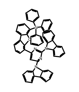 c1ccc([Si](c2ccccc2)(c2ccccc2)c2cccc3c2oc2c(-c4cc(-n5c6ccccc6c6ccccc65)nc(-n5c6ccccc6c6ccccc65)n4)cccc23)cc1